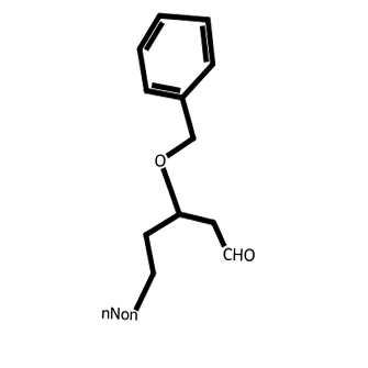 CCCCCCCCCCCC(CC=O)OCc1ccccc1